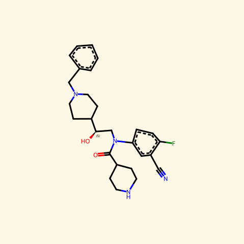 N#Cc1cc(N(C[C@@H](O)C2CCN(Cc3ccccc3)CC2)C(=O)C2CCNCC2)ccc1F